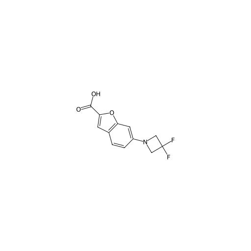 O=C(O)c1cc2ccc(N3CC(F)(F)C3)cc2o1